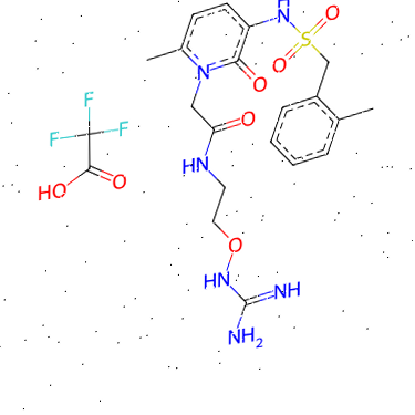 Cc1ccccc1CS(=O)(=O)Nc1ccc(C)n(CC(=O)NCCONC(=N)N)c1=O.O=C(O)C(F)(F)F